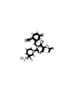 CC(C)Oc1cnc(N2CCC[C@@](C)(N)C2)n(Cc2cc(F)ccc2C#N)c1=O